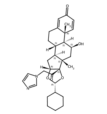 C[C@]12C=CC(=O)C=C1CC[C@@H]1[C@@H]2[C@@H](O)C[C@@]2(C)[C@H]1C[C@H]1O[C@@H](C3CCCCC3)O[C@]12C(=O)Cn1ccnc1